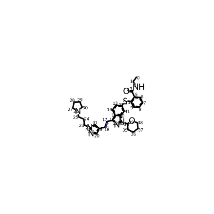 CCNC(=O)c1ccccc1Sc1ccc2c(/C=C/c3cnn(CCCN4CCCC4)c3)nn(C3CCCCO3)c2c1